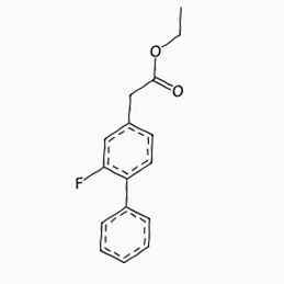 CCOC(=O)Cc1ccc(-c2ccccc2)c(F)c1